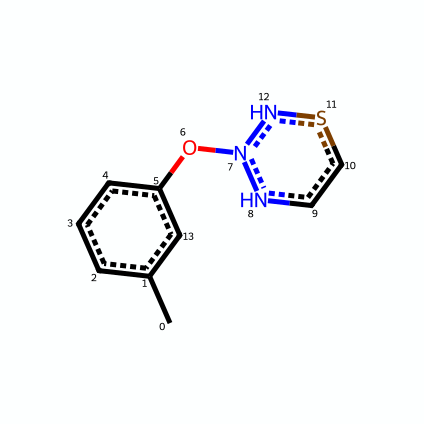 Cc1cccc(On2[nH]ccs[nH]2)c1